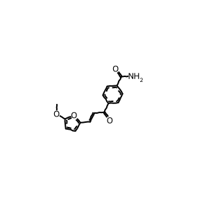 COc1ccc(C=CC(=O)c2ccc(C(N)=O)cc2)o1